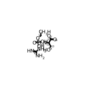 CCOP(=O)(O)O.N=C(N)N.NC(CO)C(=O)O